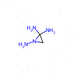 NN1CC1(N)N